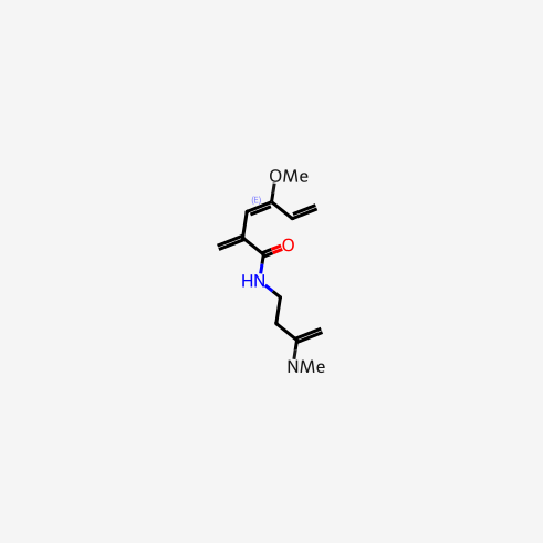 C=C/C(=C\C(=C)C(=O)NCCC(=C)NC)OC